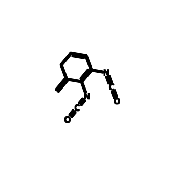 C=C1CC=CC(N=C=O)=C1N=C=O